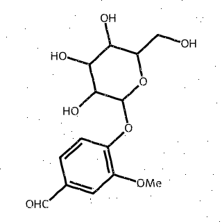 COc1cc(C=O)ccc1OC1OC(CO)C(O)C(O)C1O